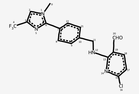 Cn1cc(C(F)(F)F)nc1-c1ccc(CNc2nc(Cl)ccc2C=O)cc1